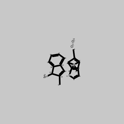 CC1=C2c3ccsc3C1[Si]2(C)C.CC1=Cc2ccccc2[CH]1[Zr+2].[Cl-].[Cl-]